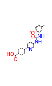 COc1ccc(C)cc1NC(=O)Nc1ccc(C2CCC(C(=O)O)CC2)nc1